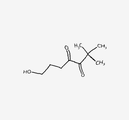 CC(C)(C)C(=O)C(=O)CCCO